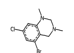 CN1Cc2c(Br)cc(Cl)cc2N(C)C1